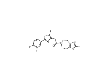 Cc1nc2c(s1)CCN(C(=O)Cn1nc(-c3ccc(F)c(C)c3)cc1C)CC2